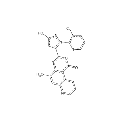 Cc1cc2ncccc2c2c(=O)oc(-c3cc(O)nn3-c3ncccc3Cl)nc12